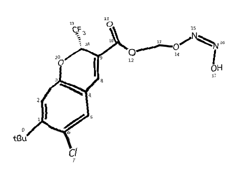 CC(C)(C)c1cc2c(cc1Cl)C=C(C(=O)OCO/N=N\O)[C@@H](C(F)(F)F)O2